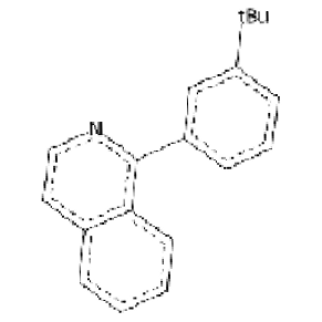 CC(C)(C)c1cccc(-c2nccc3ccccc23)c1